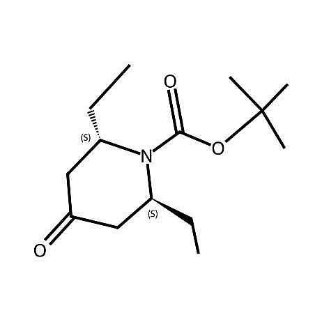 CC[C@H]1CC(=O)C[C@H](CC)N1C(=O)OC(C)(C)C